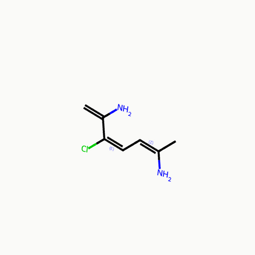 C=C(N)/C(Cl)=C\C=C(\C)N